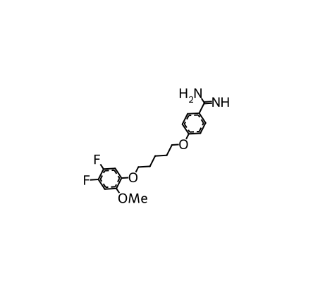 COc1cc(F)c(F)cc1OCCCCCOc1ccc(C(=N)N)cc1